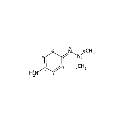 CN(C)N=C1C=CC(N)=CC1